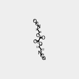 O=C=NCCOC(=O)C(=O)OCCN=C=O